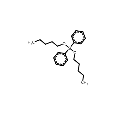 CCCCCO[Si](OCCCCC)(c1ccccc1)c1ccccc1